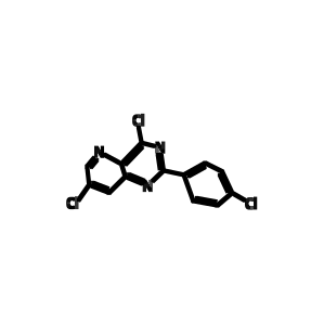 Clc1ccc(-c2nc(Cl)c3ncc(Cl)cc3n2)cc1